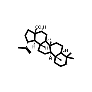 C=C(C)[C@@H]1CC[C@]2(C(=O)O)CC[C@]3(C)[C@H](CC[C@@H]4[C@@]5(C)CC[CH]C(C)(C)[C@@H]5CC[C@]43C)[C@@H]12